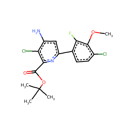 COc1c(Cl)ccc(-c2cc(N)c(Cl)c(C(=O)OC(C)(C)C)n2)c1F